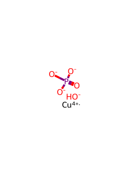 O=P([O-])([O-])[O-].[Cu+4].[OH-]